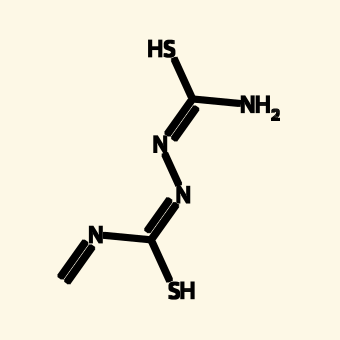 C=N/C(S)=N\N=C(/N)S